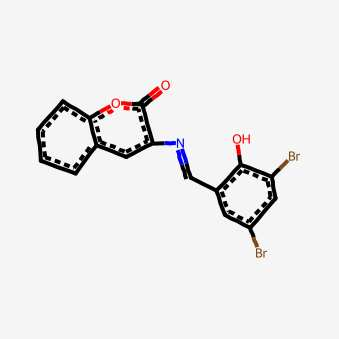 O=c1oc2ccccc2cc1N=Cc1cc(Br)cc(Br)c1O